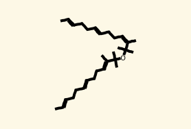 CC=CCCC=CCCC=C(C)C(C)(C)OC(C)(C)C(C)=CCCC=CCCC=CC